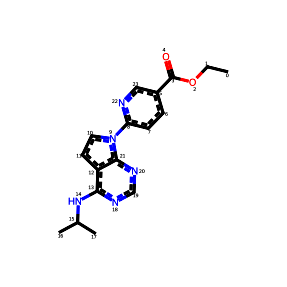 CCOC(=O)c1ccc(-n2ccc3c(NC(C)C)ncnc32)nc1